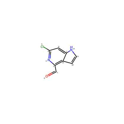 O=Cc1nc(Cl)cc2[nH]ccc12